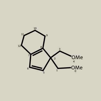 COCC1(COC)C=CC2=C1CCCC2